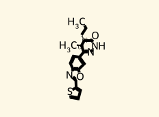 CCC[C@@H]1C(=O)NN=C(c2ccc3nc(-c4cccs4)oc3c2)[C@H]1C